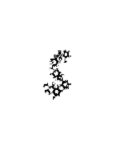 CCN(C(=O)c1cc(F)ccc1Oc1cncnc1N1CC2(CCN(C[C@@H]3CC[C@@H](NS(=O)(=O)N4CCC[C@H]4C)CO3)CC2)C1)C(C)C